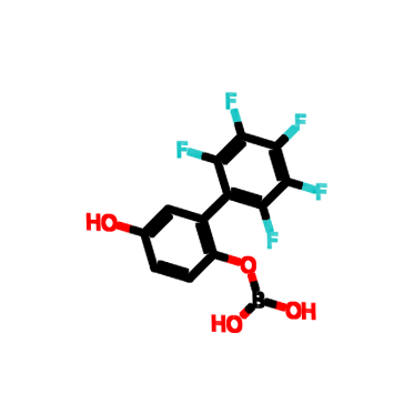 OB(O)Oc1ccc(O)cc1-c1c(F)c(F)c(F)c(F)c1F